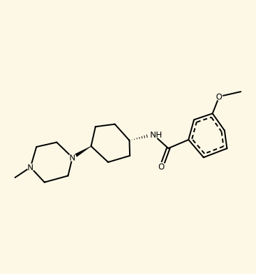 COc1cccc(C(=O)N[C@H]2CC[C@H](N3CCN(C)CC3)CC2)c1